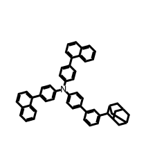 c1cc(-c2ccc(N(c3ccc(-c4cccc5ccccc45)cc3)c3ccc(-c4cccc5ccccc45)cc3)cc2)cc(C2C3CC4CC(C3)CC2C4)c1